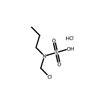 CCCN(CCl)S(=O)(=O)O.Cl